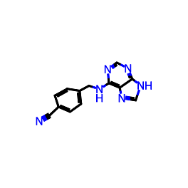 N#Cc1ccc(CNc2ncnc3[nH]cnc23)cc1